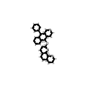 c1ccc(-c2c3ccccc3c(Oc3ccc4ccc5cccnc5c4n3)c3ccncc23)cc1